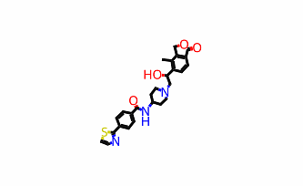 Cc1c(C(O)CN2CCC(NC(=O)c3ccc(-c4nccs4)cc3)CC2)ccc2c1COC2=O